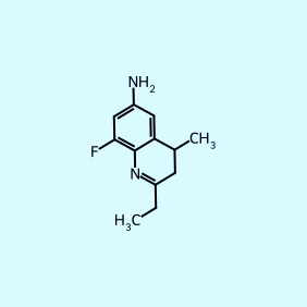 CCC1=Nc2c(F)cc(N)cc2C(C)C1